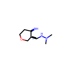 CN(C)N/C=C1/COCCC1=N